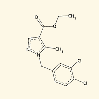 CCOC(=O)c1cnn(Cc2ccc(Cl)c(Cl)c2)c1C